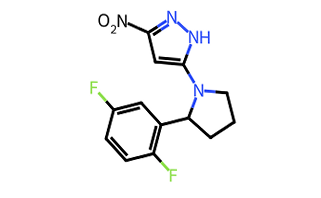 O=[N+]([O-])c1cc(N2CCCC2c2cc(F)ccc2F)[nH]n1